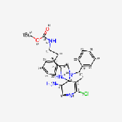 CC1=C(Cl)N=CC(N)C1(NCCCCNC(=O)OC(C)(C)C)N(Cc1ccccc1)Cc1ccccc1